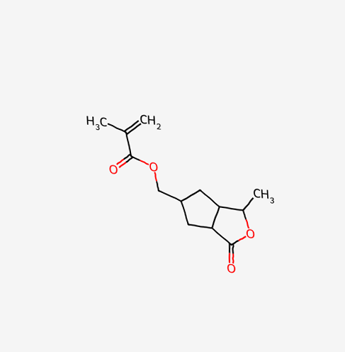 C=C(C)C(=O)OCC1CC2C(=O)OC(C)C2C1